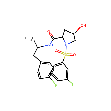 O=C(O)C(Cc1ccc(F)cc1)NC(=O)C1C[C@@H](O)CN1S(=O)(=O)c1cccc(F)c1